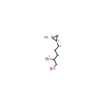 BrCC(Br)CCC[C@@H]1C[C@H]1I